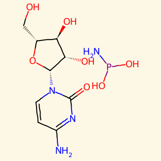 NP(O)O.Nc1ccn([C@@H]2O[C@H](CO)[C@@H](O)[C@@H]2O)c(=O)n1